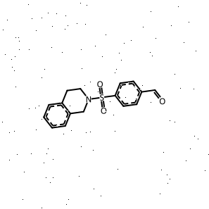 O=Cc1ccc(S(=O)(=O)N2CCc3ccccc3C2)cc1